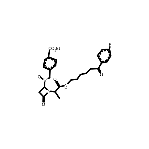 CCOC(=O)c1ccc(C[S+]([O-])C2CC(=O)N2C(C)C(=O)NCCCCCC(=O)c2ccc(F)cc2)cc1